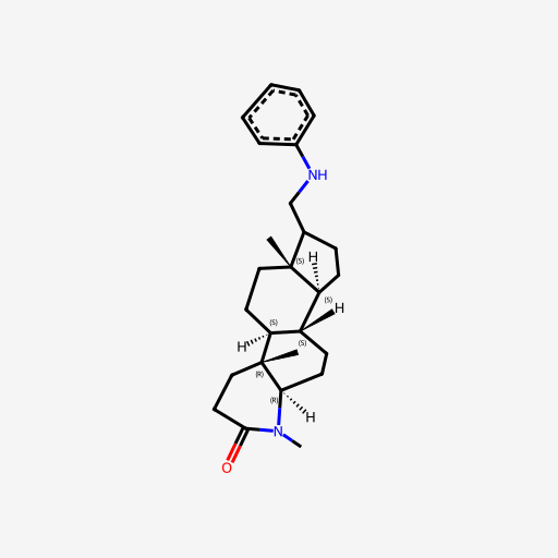 CN1C(=O)CC[C@]2(C)[C@H]3CC[C@]4(C)C(CNc5ccccc5)CC[C@H]4[C@@H]3CC[C@@H]12